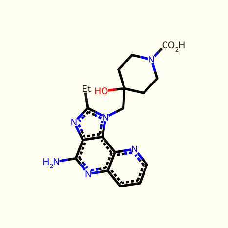 CCc1nc2c(N)nc3cccnc3c2n1CC1(O)CCN(C(=O)O)CC1